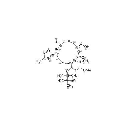 COc1cc(O[Si](C)(C)C(C)(C)C(C)C)c2c(c1C)C(=O)O[C@H](CO)CCCC(=S)N[C@H](c1nc(C)no1)CSC2